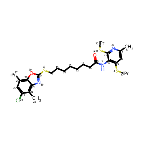 Cc1cc(SC(C)C)c(NC(=O)CCCCCCCSc2nc3c(C)c(Cl)cc(C(C)C)c3o2)c(SC(C)C)n1